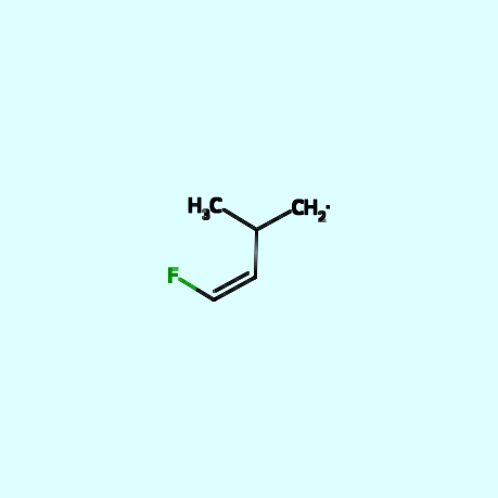 [CH2]C(C)/C=C\F